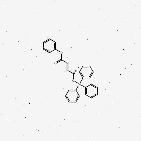 O=C(/N=N/C(=O)O[Si](c1ccccc1)(c1ccccc1)c1ccccc1)Oc1ccccc1